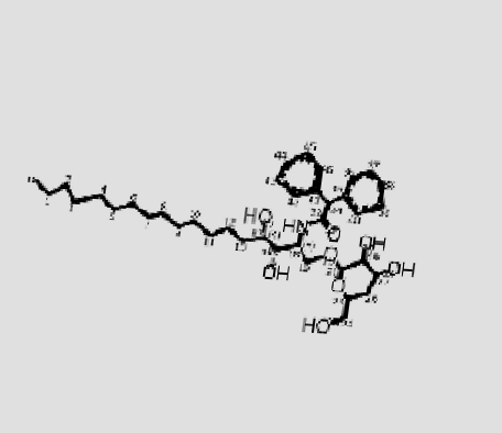 CCCCCCCCCCCCCC[C@@H](O)[C@@H](O)[C@H](COC1OC(CO)CC(O)C1O)NC(=O)C(c1ccccc1)c1ccccc1